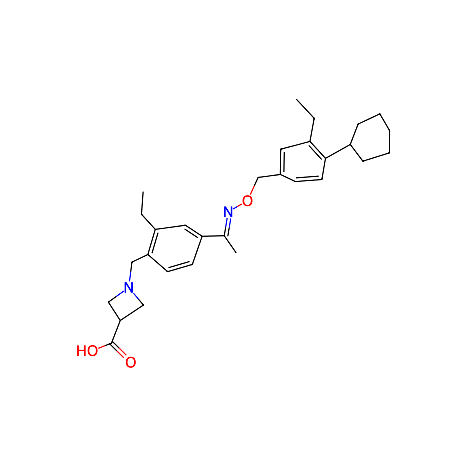 CCc1cc(C(C)=NOCc2ccc(C3CCCCC3)c(CC)c2)ccc1CN1CC(C(=O)O)C1